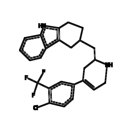 FC(F)(F)c1cc(C2=CCNC(CC3CCc4[nH]c5ccccc5c4C3)C2)ccc1Cl